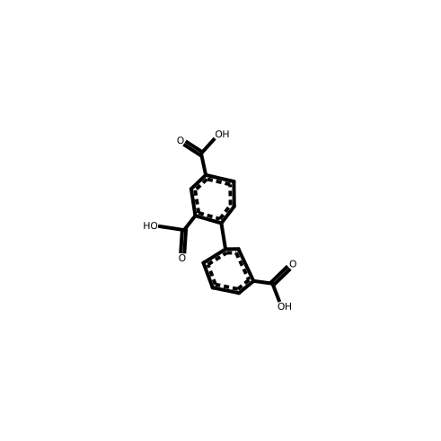 O=C(O)c1cccc(-c2ccc(C(=O)O)cc2C(=O)O)c1